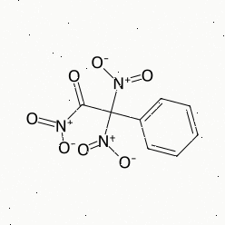 O=C([N+](=O)[O-])C(c1ccccc1)([N+](=O)[O-])[N+](=O)[O-]